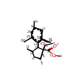 COC(=O)C1(C(C)=O)CCCC(C)C1c1c(C)cc(C)cc1C